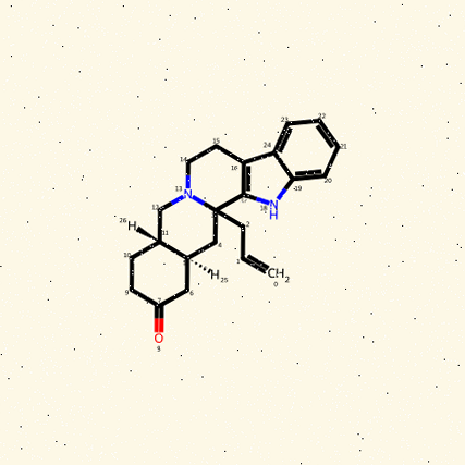 C=CCC12C[C@H]3CC(=O)CC[C@@H]3CN1CCc1c2[nH]c2ccccc12